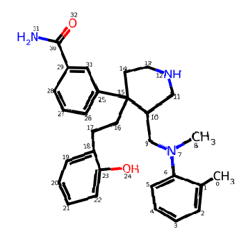 Cc1ccccc1N(C)CC1CNCCC1(CCc1ccccc1O)c1cccc(C(N)=O)c1